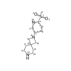 CS(=O)(=O)c1ccc(N2CC3(CCNCC3)C2)cn1